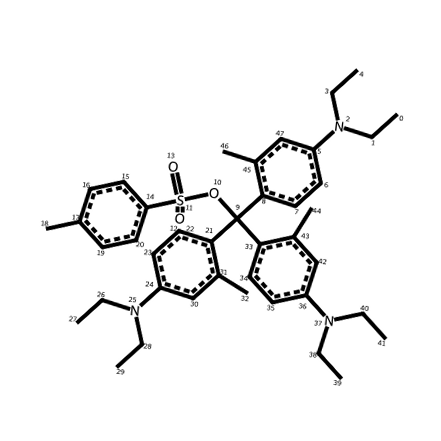 CCN(CC)c1ccc(C(OS(=O)(=O)c2ccc(C)cc2)(c2ccc(N(CC)CC)cc2C)c2ccc(N(CC)CC)cc2C)c(C)c1